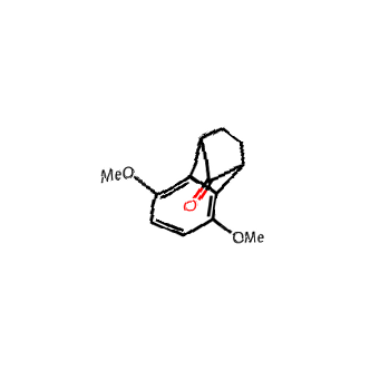 COc1ccc(OC)c2c1C1CCC2C1=O